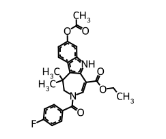 CCOC(=O)C1=CN(C(=O)c2ccc(F)cc2)CC(C)(C)c2c1[nH]c1cc(OC(C)=O)ccc21